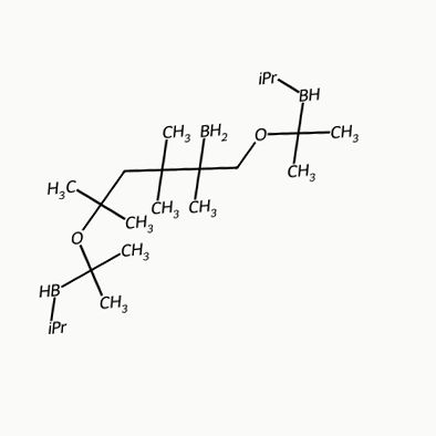 BC(C)(COC(C)(C)BC(C)C)C(C)(C)CC(C)(C)OC(C)(C)BC(C)C